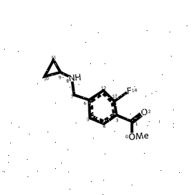 COC(=O)c1ccc(CNC2CC2)cc1F